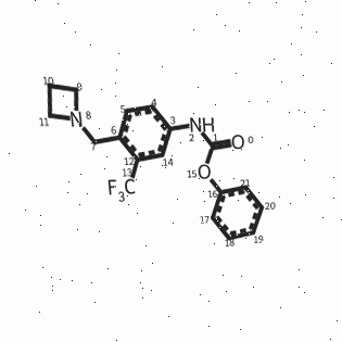 O=C(Nc1ccc(CN2CCC2)c(C(F)(F)F)c1)Oc1ccccc1